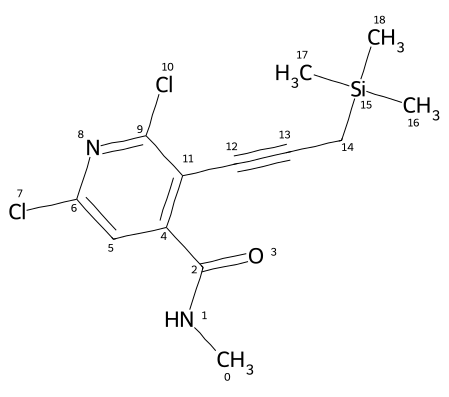 CNC(=O)c1cc(Cl)nc(Cl)c1C#CC[Si](C)(C)C